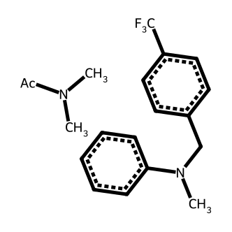 CC(=O)N(C)C.CN(Cc1ccc(C(F)(F)F)cc1)c1ccccc1